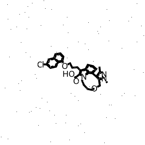 Cc1nn(C)c2c1-c1cccc3c(CCCOc4cccc5cc(Cl)ccc45)c(C(=O)O)n(c13)CCCCOC2